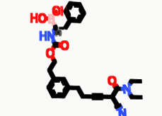 CCN(CC)C(=O)C(C#N)C#CCCc1cccc(CCOC(=O)N[C@@H](Cc2ccccc2)B(O)O)c1